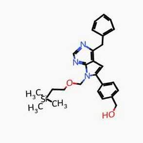 C[Si](C)(C)CCOCn1c(-c2ccc(CO)cc2)cc2c(Cc3ccccc3)ncnc21